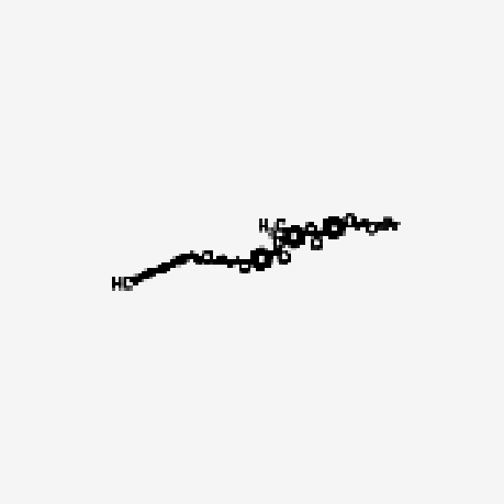 C#CC#CC#CC#CCCOCCCCOc1ccc(C(=O)Oc2ccc(OC(=O)c3ccc(OCCOCCC)cc3)cc2C)cc1